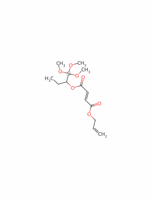 C=CCOC(=O)/C=C/C(=O)OC(CC)[Si](OC)(OC)OC